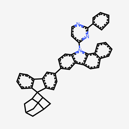 c1ccc(-c2nccc(-n3c4ccc(-c5ccc6c(c5)-c5ccccc5C65C6CC7CC8CC5C86C7)cc4c4ccc5ccccc5c43)n2)cc1